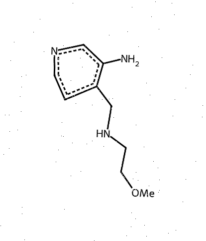 COCCNCc1ccncc1N